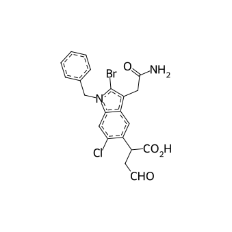 NC(=O)Cc1c(Br)n(Cc2ccccc2)c2cc(Cl)c(C(CC=O)C(=O)O)cc12